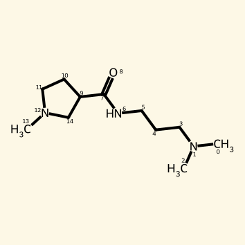 CN(C)CCCNC(=O)C1CCN(C)C1